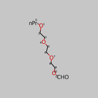 CCCOCCOCCOCCOC=O